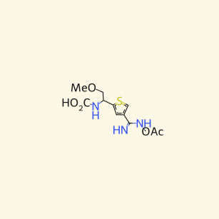 COCC(NC(=O)O)c1cc(C(=N)NOC(C)=O)cs1